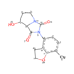 N#Cc1ccc(N2C(=O)C3C(O)CCN3C2=O)c2c1OCC2